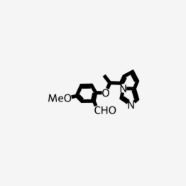 COc1ccc(OC(C)c2cccc3cncn23)c(C=O)c1